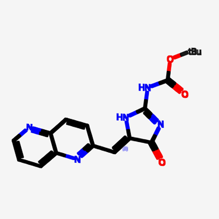 CC(C)(C)OC(=O)NC1=NC(=O)/C(=C/c2ccc3ncccc3n2)N1